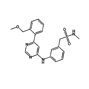 CNS(=O)(=O)Cc1cccc(Nc2cc(-c3ccccc3COC)ncn2)c1